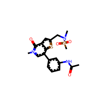 CC(=O)Nc1cccc(-c2cn(C)c(=O)c3cc(CN(C)S(C)(=O)=O)sc23)c1